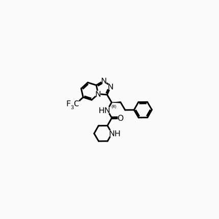 O=C(N[C@H](CCc1ccccc1)c1nnc2ccc(C(F)(F)F)cn12)C1CCCCN1